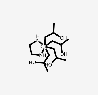 CC(O)[CH2][Cu]1([CH2]C(C)O)([CH2]C(C)O)([CH2]C(C)O)[NH]CC[NH]1